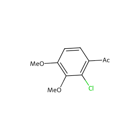 COc1ccc(C(C)=O)c(Cl)c1OC